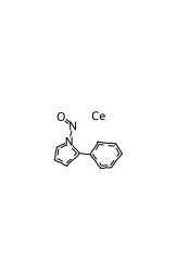 O=Nn1cccc1-c1ccccc1.[Ce]